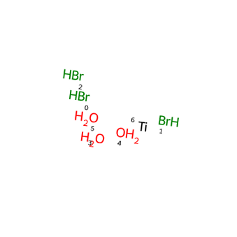 Br.Br.Br.O.O.O.[Ti]